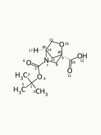 CC(C)(C)OC(=O)N1C[C@@]2(C(=O)O)C[C@@H]1CO2